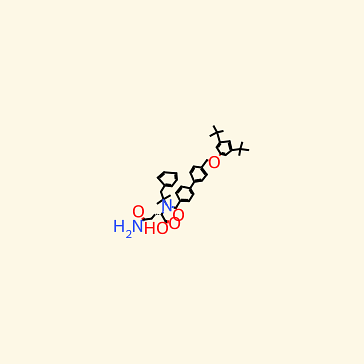 CC(C)(C)c1cc(OCc2ccc(-c3ccc(C(=O)N([C@@H](CCC(N)=O)C(=O)O)C(C)(C)Cc4ccccc4)cc3)cc2)cc(C(C)(C)C)c1